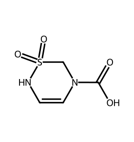 O=C(O)N1C=CNS(=O)(=O)C1